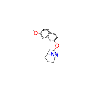 COc1ccc2ccc(OC3CC4CCCC(C3)N4)cc2c1